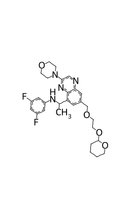 CC(Nc1cc(F)cc(F)c1)c1cc(COCCOC2CCCCO2)cc2ncc(N3CCOCC3)nc12